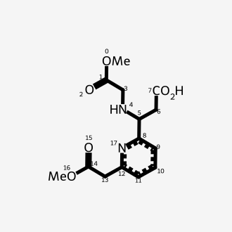 COC(=O)CNC(CC(=O)O)c1cccc(CC(=O)OC)n1